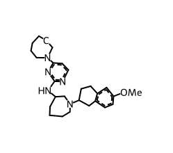 COc1ccc2c(c1)CCC(N1CCCCC(Nc3nccc(N4CCCCCC4)n3)C1)C2